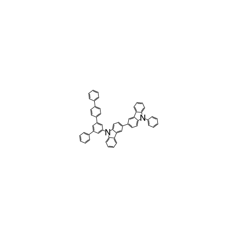 c1ccc(-c2ccc(-c3cc(-c4ccccc4)cc(-n4c5ccccc5c5cc(-c6ccc7c(c6)c6ccccc6n7-c6ccccc6)ccc54)c3)cc2)cc1